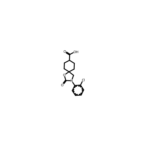 O=C(O)C1CCC2(CC1)CN(c1ccccc1Cl)C(=O)O2